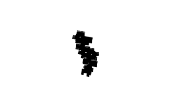 O=C(NC1CC(F)(F)C1)c1cccc2cc(Nc3n[nH]c4cccnc34)ccc12